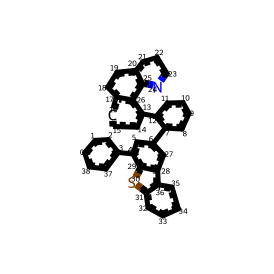 c1ccc(-c2cc(-c3ccccc3-c3cccc4ccc5cccnc5c34)cc3c2sc2ccccc23)cc1